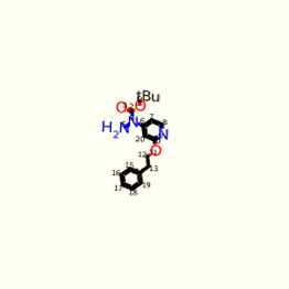 CC(C)(C)OC(=O)N(N)c1ccnc(OCCc2ccccc2)c1